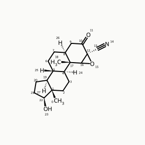 C[C@]12CC[C@H]3[C@@H](CC[C@H]4CC(=O)[C@@]5(C#N)OC5[C@@]43C)[C@@H]1CC[C@@H]2O